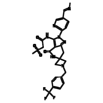 C/N=C/c1ccc(-n2nc3c(c2NC(=O)CS(C)(=O)=O)C(=O)NC2(C3)CN(Cc3ccc(C(F)(F)F)cc3)C2)nc1